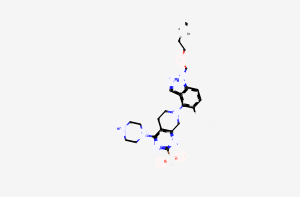 Cc1ccc2c(cnn2COCC[Si](C)(C)C)c1N1CCc2c(nc(S(C)(=O)=O)nc2N2CCN(C(=O)O)CC2)C1